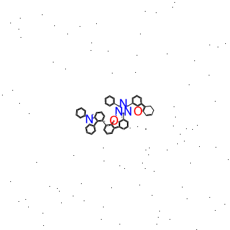 C1=Cc2oc3c(-c4nc(-c5ccccc5)nc(-c5cccc6c5oc5c(-c7cccc8c7c7ccccc7n8-c7ccccc7)cccc56)n4)cccc3c2CC1